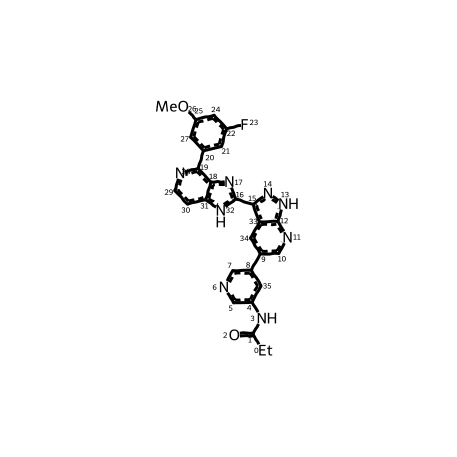 CCC(=O)Nc1cncc(-c2cnc3[nH]nc(-c4nc5c(-c6cc(F)cc(OC)c6)nccc5[nH]4)c3c2)c1